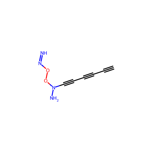 C#CC#CC#CN(N)OON=N